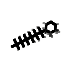 CC(C)(C)C(C)(C)C(C)(C)C(C)(C)C(C)(C)C(C)(C)[SiH]1OCC[SiH2][SiH2]1